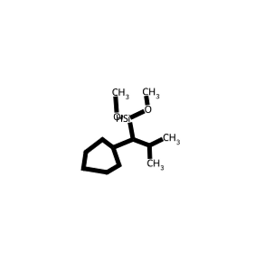 CO[SiH](OC)C(C(C)C)C1CCCCC1